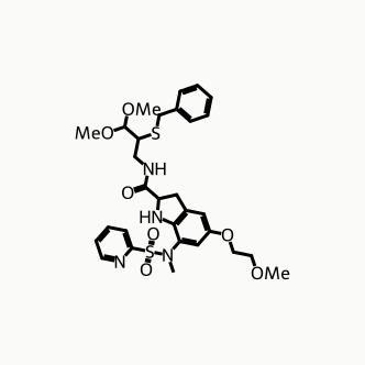 COCCOc1cc2c(c(N(C)S(=O)(=O)c3ccccn3)c1)NC(C(=O)NCC(SCc1ccccc1)C(OC)OC)C2